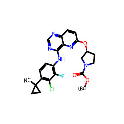 CC(C)(C)OC(=O)N1CC[C@H](Oc2ccc3ncnc(Nc4ccc(C5(C#N)CC5)c(Cl)c4F)c3n2)C1